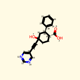 O=C(O)[C@@H]1CCC(O)(C#Cc2cncnc2)C[C@H]1c1ccccc1